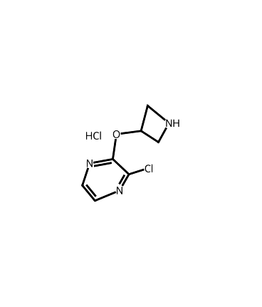 Cl.Clc1nccnc1OC1CNC1